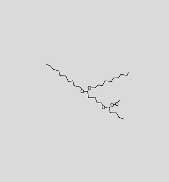 CCCCCCCCCCOC(CCCCOC(CCCC)OOC)OCCCCCCCCCC